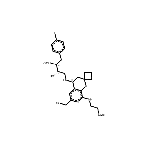 COCCNc1nc(CC(C)(C)C)cc2c1OC1(CCC1)C[C@@H]2NC[C@H](O)[C@H](Cc1ccc(F)cc1)NC(C)=O